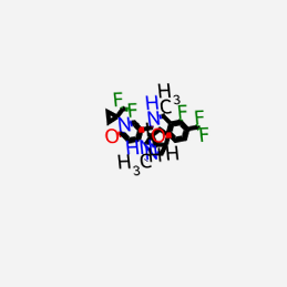 C[C@@H](NC(=O)c1cn(C2(C(F)F)CC2)c(=O)cc1N[C@@H]1[C@@H]2CC[C@H]1CN(C)C2)c1cccc(C(F)F)c1F